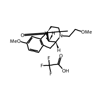 COCCN1CC[C@]23CC(=O)CC[C@H]2[C@H]1Cc1ccc(OC)cc13.O=C(O)C(F)(F)F